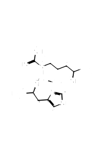 CC(=O)O.N=C(N)NCCCC(N)C(=O)O.NC(Cc1c[nH]cn1)C(=O)O